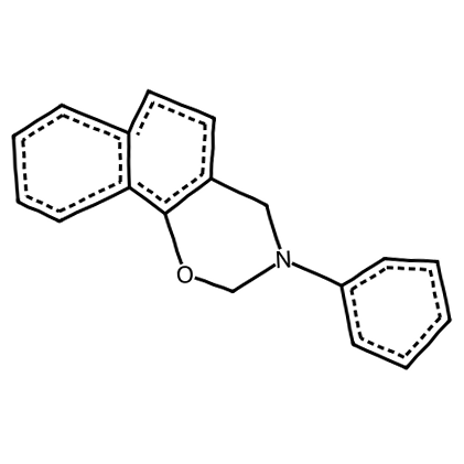 c1ccc(N2COc3c(ccc4ccccc34)C2)cc1